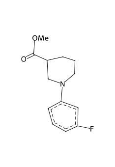 COC(=O)C1CCCN(c2cccc(F)c2)C1